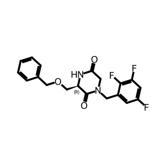 O=C1CN(Cc2cc(F)cc(F)c2F)C(=O)[C@@H](COCc2ccccc2)N1